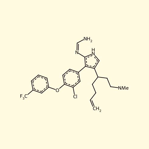 C=CCCC(CCNC)c1c[nH]c(/N=C\N)c1-c1ccc(Oc2cccc(C(F)(F)F)c2)c(Cl)c1